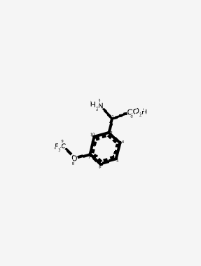 NC(C(=O)O)c1cccc(OC(F)(F)F)c1